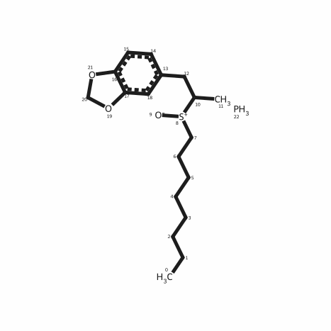 CCCCCCCC[S+]([O-])C(C)Cc1ccc2c(c1)OCO2.P